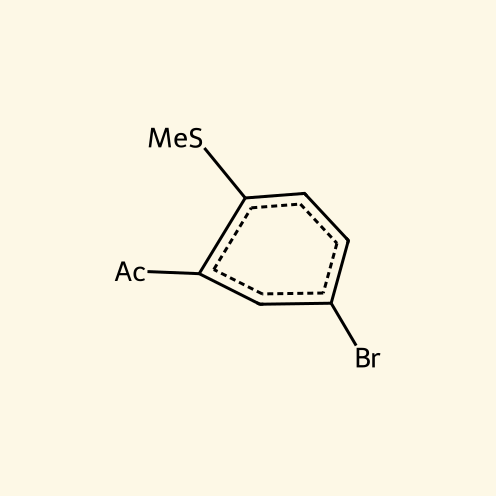 CSc1ccc(Br)cc1C(C)=O